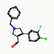 O=CC1=C(c2ccc(Cl)c(F)c2)CN(Cc2ccccc2)C1